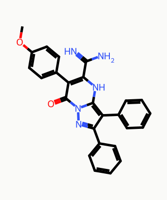 COc1ccc(-c2c(C(=N)N)[nH]c3c(-c4ccccc4)c(-c4ccccc4)nn3c2=O)cc1